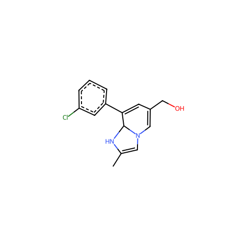 CC1=CN2C=C(CO)C=C(c3cccc(Cl)c3)C2N1